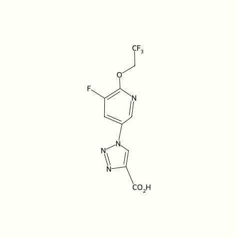 O=C(O)c1cn(-c2cnc(OCC(F)(F)F)c(F)c2)nn1